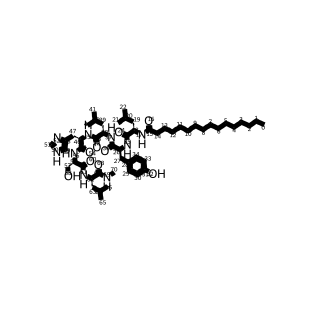 CCCCCCCCCCCCCCCC(=O)N[C@@H](CC(C)C)C(=O)N[C@@H](Cc1ccc(O)cc1)C(=O)N[C@@H](CC(C)C)C(=O)N[C@@H](Cc1c[nH]cn1)C(=O)N[C@@H](CO)C(=O)N[C@@H](CC(C)C)C(=O)NC